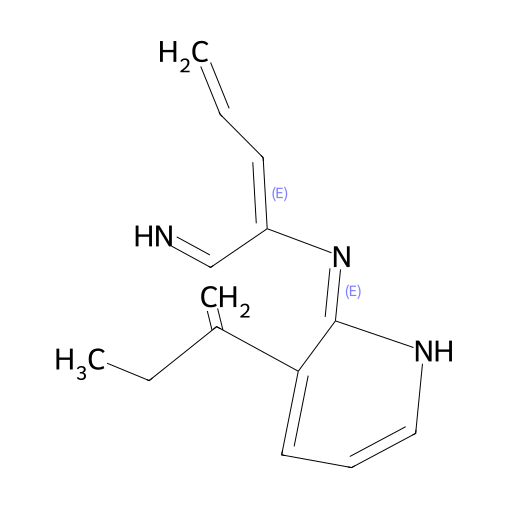 C=C/C=C(C=N)/N=c1/[nH]cccc1C(=C)CC